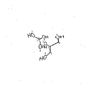 OCC(O)CO.OP(O)O